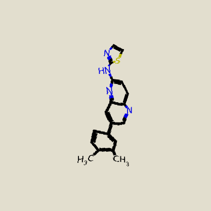 Cc1ccc(-c2cnc3ccc(Nc4nccs4)nc3c2)cc1C